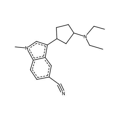 CCN(CC)C1CCC(c2cn(C)c3ccc(C#N)cc23)C1